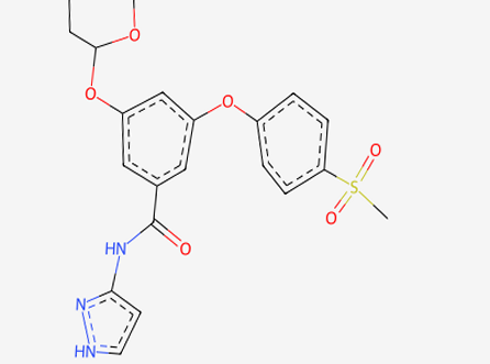 CCC(OC)Oc1cc(Oc2ccc(S(C)(=O)=O)cc2)cc(C(=O)Nc2cc[nH]n2)c1